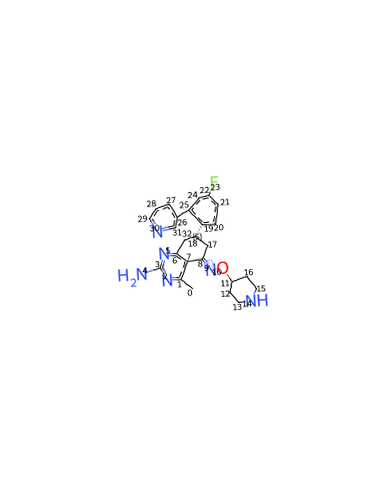 Cc1nc(N)nc2c1/C(=N/OC1CCNCC1)C[C@@H](c1ccc(F)cc1-c1cccnc1)C2